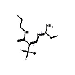 C=C(NCCC)/C(=C\N=C(\N)CC)C(F)(F)F